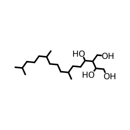 CC(C)CCCC(C)CCCC(C)CCC(O)C(CO)C(O)CO